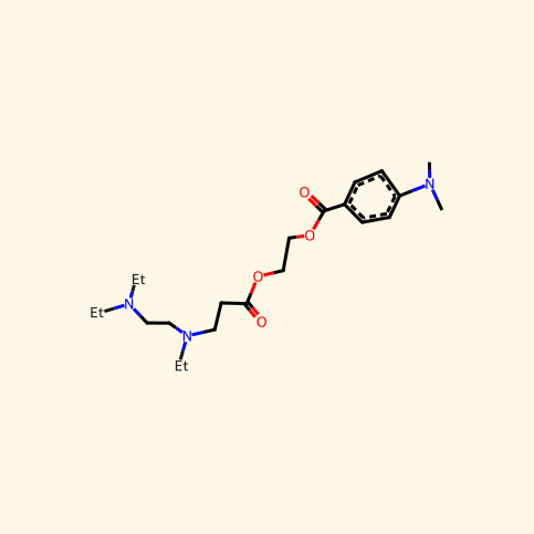 CCN(CC)CCN(CC)CCC(=O)OCCOC(=O)c1ccc(N(C)C)cc1